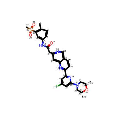 Cc1ccc(NC(=O)Cc2cc3nc(-c4cc(F)cc(N5C[C@@H](C)O[C@@H](C)C5)n4)ccc3cn2)cc1S(C)(=O)=O